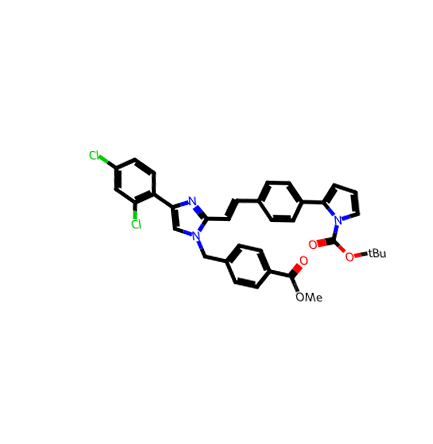 COC(=O)c1ccc(Cn2cc(-c3ccc(Cl)cc3Cl)nc2C=Cc2ccc(-c3cccn3C(=O)OC(C)(C)C)cc2)cc1